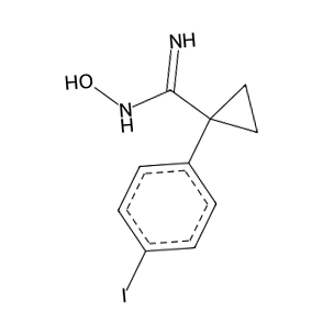 N=C(NO)C1(c2ccc(I)cc2)CC1